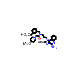 CCCCc1nc2c(N)nc3ccccc3c2n1CCCN(Cc1cccc(CC(=O)O)c1)C(=O)CN1CCC(OC)CC1